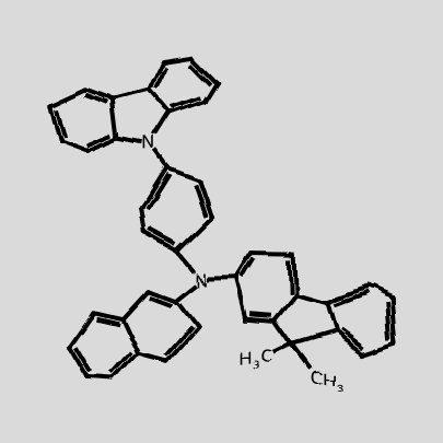 CC1(C)c2ccccc2-c2ccc(N(c3ccc(-n4c5ccccc5c5ccccc54)cc3)c3ccc4ccccc4c3)cc21